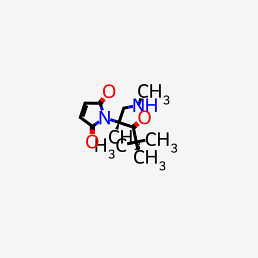 CNC[C@](C)(C(=O)C(C)(C)C)N1C(=O)C=CC1=O